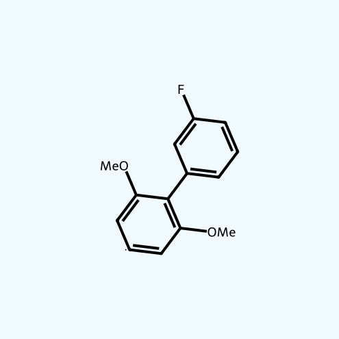 COc1c[c]cc(OC)c1-c1cccc(F)c1